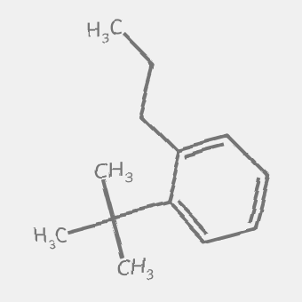 CCCc1ccccc1C(C)(C)C